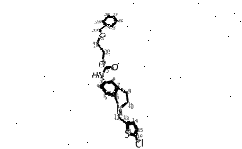 O=C(Nc1ccc2c(c1)CCN2Cc1ccc(Cl)s1)OCCOCc1ccccc1